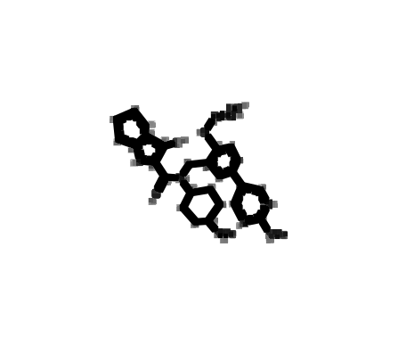 CCOc1ccc(-c2cnc(NC)nc2)cc1CN(C(=O)c1sc2ccccc2c1Cl)C1CCC(NC)CC1.Cl.Cl